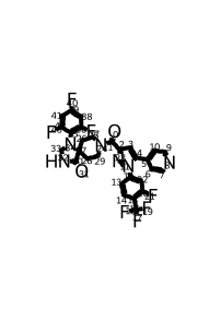 O=C(c1cc(-c2ccncc2)n(-c2ccc(C(F)(F)F)c(F)c2)n1)N1CCC2(CC1)C(=O)NCN2c1c(F)cc(F)cc1F